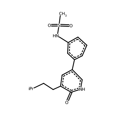 CC(C)CCc1cc(-c2cccc(NS(C)(=O)=O)c2)c[nH]c1=O